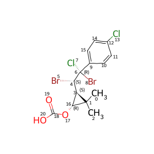 CC1(C)[C@H]([C@H](Br)[C@](Cl)(Br)c2ccc(Cl)cc2)[C@H]1OC(=O)O